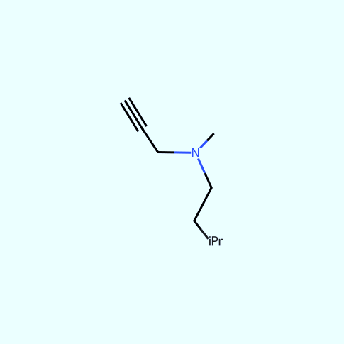 C#CCN(C)CCC(C)C